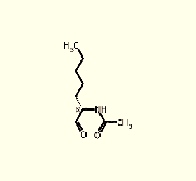 CCCCC[C@@H](C=O)NC(C)=O